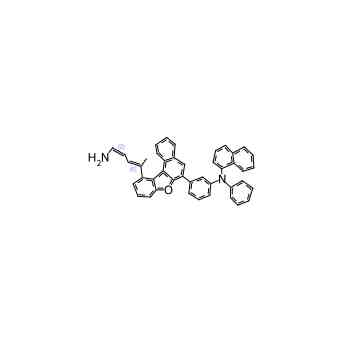 C/C(=C\C=C/N)c1cccc2oc3c(-c4cccc(N(c5ccccc5)c5cccc6ccccc56)c4)cc4ccccc4c3c12